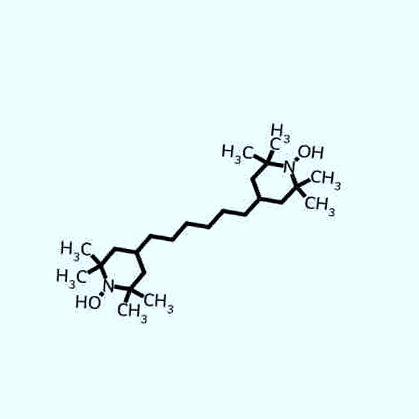 CC1(C)CC(CCCCCCC2CC(C)(C)N(O)C(C)(C)C2)CC(C)(C)N1O